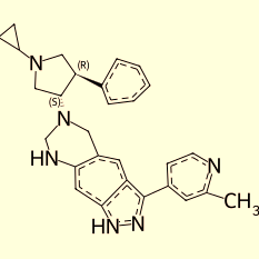 Cc1cc(-c2n[nH]c3cc4c(cc23)CN([C@@H]2CN(C3CC3)C[C@H]2c2ccccc2)CN4)ccn1